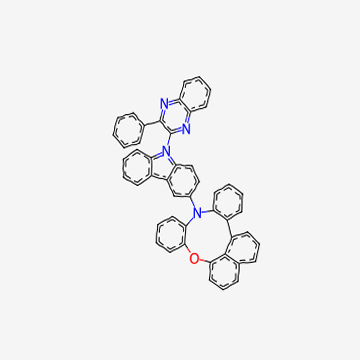 c1ccc(-c2nc3ccccc3nc2-n2c3ccccc3c3cc(N4c5ccccc5Oc5cccc6cccc(c56)-c5ccccc54)ccc32)cc1